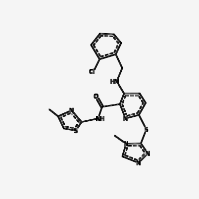 Cc1csc(NC(=O)c2nc(Sc3nncn3C)ccc2NCc2ccccc2Cl)n1